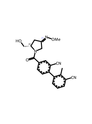 CO/N=C1/C[C@@H](CO)N(C(=O)c2ccc(-c3cccc(C#N)c3C)c(C#N)c2)C1